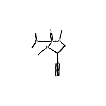 C#CC1CN(C)P(=S)(N(C)C)N1C